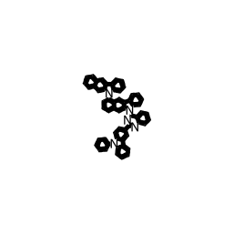 c1ccc(-n2c3ccccc3c3cc(-c4nc(-n5c6ccccc6c6cc7c(-n8c9ccccc9c9cc%10ccccc%10cc98)cccc7cc65)c5ccccc5n4)ccc32)cc1